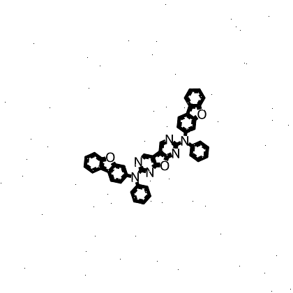 c1ccc(N(c2ccc3c(c2)oc2ccccc23)c2ncc3c(n2)oc2nc(N(c4ccccc4)c4ccc5c(c4)oc4ccccc45)ncc23)cc1